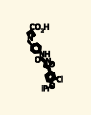 CC(C)Oc1ccc(-c2cc(C(=O)N[C@H]3CC[C@H](CN4CC(C(=O)O)C4)CC3)no2)cc1Cl